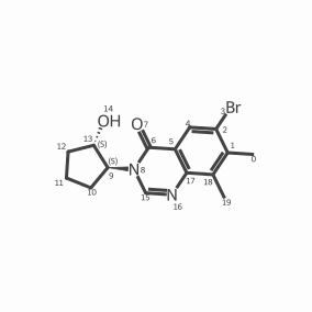 Cc1c(Br)cc2c(=O)n([C@H]3CCC[C@@H]3O)cnc2c1C